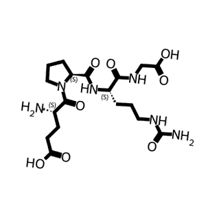 NC(=O)NCCC[C@H](NC(=O)[C@@H]1CCCN1C(=O)[C@@H](N)CCC(=O)O)C(=O)NCC(=O)O